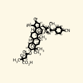 CC(C)C1=C2[C@H]3CC[C@@H]4[C@@]5(C)CC[C@H](OC(=O)CC(C)(C)C(=O)O)C(C)(C)C5CC[C@@]4(C)[C@]3(C)CC[C@@]2(Cc2nnc(-c3ccc(C#N)cc3)n2C)CC1=O